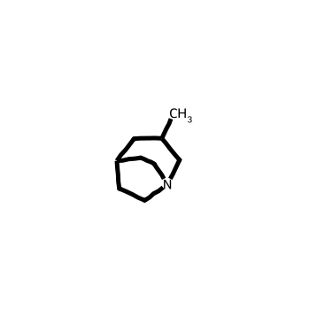 CC1CC2CCN(CC2)C1